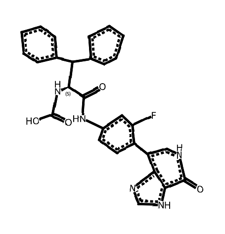 O=C(O)N[C@H](C(=O)Nc1ccc(-c2c[nH]c(=O)c3[nH]cnc23)c(F)c1)C(c1ccccc1)c1ccccc1